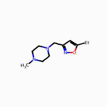 CCc1cc(CN2CCN(C)CC2)no1